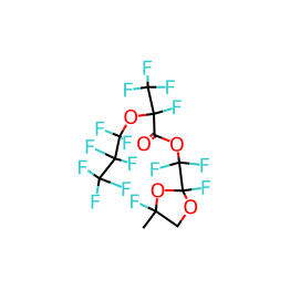 CC1(F)COC(F)(C(F)(F)OC(=O)C(F)(OC(F)(F)C(F)(F)C(F)(F)F)C(F)(F)F)O1